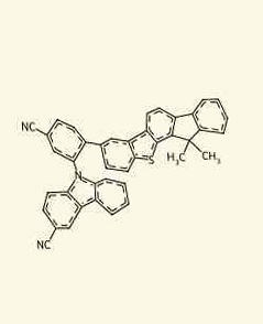 CC1(C)c2ccccc2-c2ccc3c(sc4ccc(-c5ccc(C#N)cc5-n5c6ccccc6c6cc(C#N)ccc65)cc43)c21